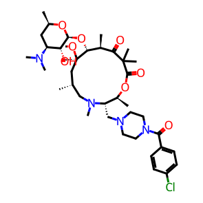 CO[C@]1(C)C[C@@H](C)CN(C)[C@@H](CN2CCN(C(=O)c3ccc(Cl)cc3)CC2)[C@H](C)OC(=O)C(C)(C)C(=O)[C@H](C)[C@H]1O[C@@H]1O[C@H](C)C[C@H](N(C)C)[C@H]1O